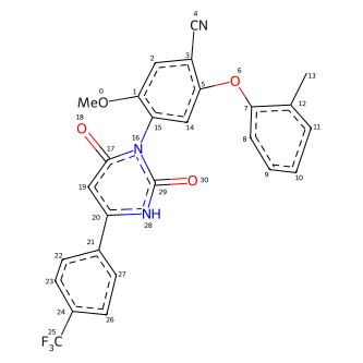 COc1cc(C#N)c(Oc2ccccc2C)cc1-n1c(=O)cc(-c2ccc(C(F)(F)F)cc2)[nH]c1=O